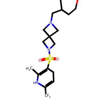 CC1=C(S(=O)(=O)N2CC3(CN(CC4CCOCC4)C3)C2)CC=C(C(F)(F)F)N1